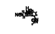 Cc1nnc(-c2cccc(S(=O)(=O)N[C@@H]3CCN(C#N)C3)c2)o1